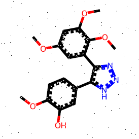 COc1cc(OC)c(OC)c(-c2nn[nH]c2-c2ccc(OC)c(O)c2)c1